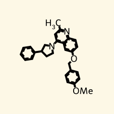 COc1ccc(COc2ccc3nc(C)cc(N4CCC(c5ccccc5)C4)c3c2)cc1